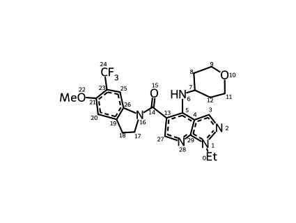 CCn1ncc2c(NC3CCOCC3)c(C(=O)N3CCc4cc(OC)c(C(F)(F)F)cc43)cnc21